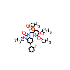 CCOc1nc([C@@H](CS(C)(=O)=O)n2c(=O)n(C)c3cc(-c4ccccc4F)ccc32)ccc1OC